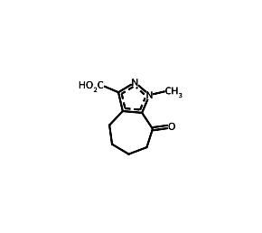 Cn1nc(C(=O)O)c2c1C(=O)CCCC2